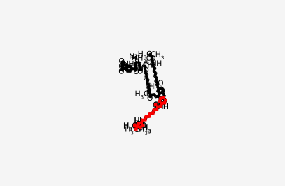 CN(CCOCCOCCON(C)C(=O)C1CC(N=[N+]=[N-])CN1C(=O)c1ccc2c(=O)oc(=O)[nH]c2c1)C(=O)CCC12c3cc(NC(=O)CCCCCCCNC(=O)OC(C)(C)C)ccc3C(c3ccc(NC(=O)CCCCCCCNC(=O)OC(C)(C)C)cc31)c1ccc(NC(=O)CCCCCCCNC(=O)OC(C)(C)C)cc12